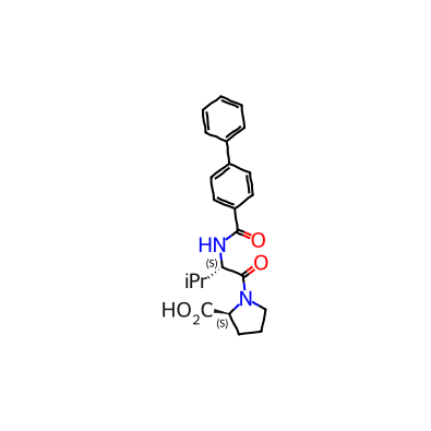 CC(C)[C@H](NC(=O)c1ccc(-c2ccccc2)cc1)C(=O)N1CCC[C@H]1C(=O)O